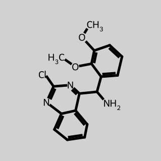 COc1cccc(C(N)c2nc(Cl)nc3ccccc23)c1OC